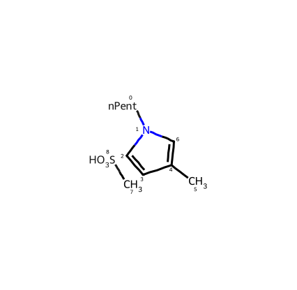 CCCCCn1ccc(C)c1.CS(=O)(=O)O